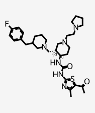 CC(=O)c1sc(NC(=O)N[C@@H]2CCN(CCN3CCCC3)C[C@H]2CN2CCCC(Cc3ccc(F)cc3)C2)nc1C